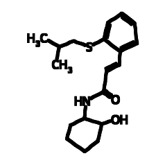 CC(C)CSc1ccccc1C=CC(=O)NC1CCCCC1O